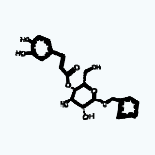 O=C(C=Cc1ccc(O)c(O)c1)O[C@H]1[C@H](O)[C@@H](O)[C@H](OCc2ccccc2)O[C@@H]1CO